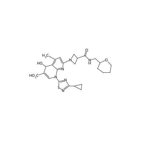 Cc1cc(N2CC(C(=O)NCC3CCCCO3)C2)nc2c1C(O)C(C(=O)O)=CN2c1nc(C2CC2)ns1